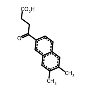 Cc1cc2ccc(C(=O)CCC(=O)O)cc2cc1C